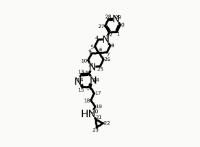 c1cc(N2CCC3(CC2)CCN(c2cncc(CCCNC4CC4)n2)CC3)ccn1